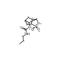 CCCNC(=O)OC1C2CC3C1OS(=O)(=O)C3C2